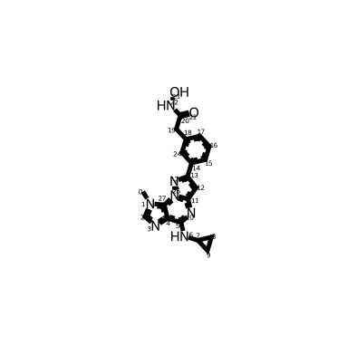 Cn1cnc2c(NC3CC3)nc3cc(-c4cccc(CC(=O)NO)c4)nn3c21